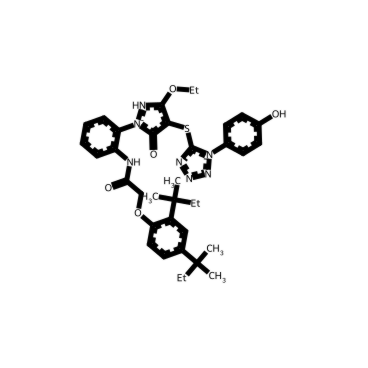 CCOc1[nH]n(-c2ccccc2NC(=O)COc2ccc(C(C)(C)CC)cc2C(C)(C)CC)c(=O)c1Sc1nnnn1-c1ccc(O)cc1